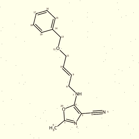 Cc1nc(C#N)c(NC/C=C/COCc2ccccc2)o1